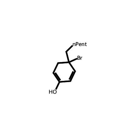 CCCCCCC1(Br)C=CC(O)=CC1